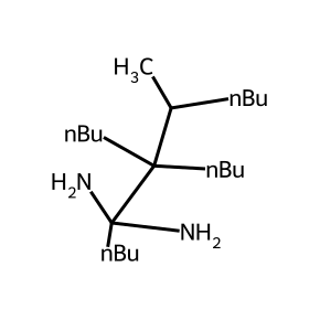 CCCCC(C)C(CCCC)(CCCC)C(N)(N)CCCC